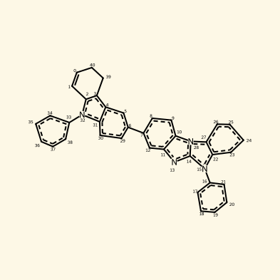 C1=Cc2c(c3cc(-c4ccc5c(c4)nc4n(-c6ccccc6)c6ccccc6n54)ccc3n2-c2ccccc2)CC1